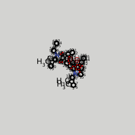 CC1(C)c2ccccc2-c2cc(N(c3ccccc3-c3cccc(-c4ccc5ccc6c(c5c4)Oc4c(ccc5ccccc45)C64c5ccccc5-c5c(N(c6cccc(-c7ccccc7)c6)c6ccc7c(c6)C(C)(C)c6ccccc6-7)cccc54)c3)c3cccc4c3-c3ccccc3C43c4ccc5ccccc5c4Oc4c3ccc3ccccc43)ccc21